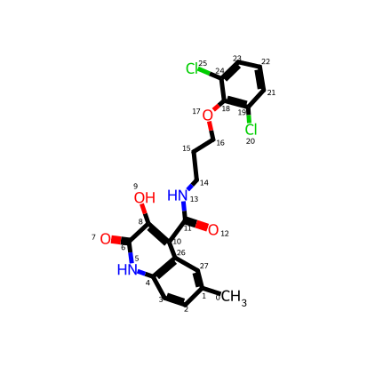 Cc1ccc2[nH]c(=O)c(O)c(C(=O)NCCCOc3c(Cl)cccc3Cl)c2c1